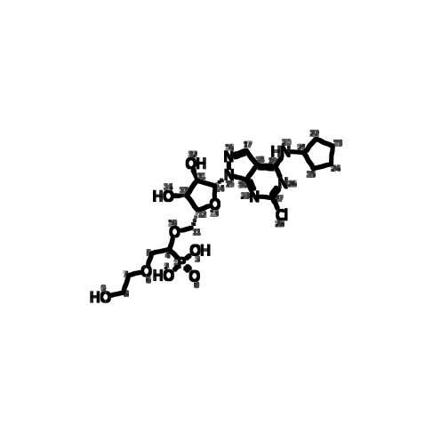 O=P(O)(O)C(COCCO)OC[C@H]1O[C@@H](n2ncc3c(NC4CCCC4)nc(Cl)nc32)[C@H](O)[C@@H]1O